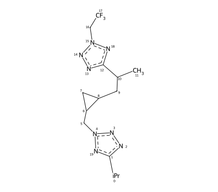 CC(C)c1nnn(CC2CC2CC(C)c2nnn(CC(F)(F)F)n2)n1